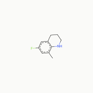 Cc1cc(F)cc2c1NCCC2